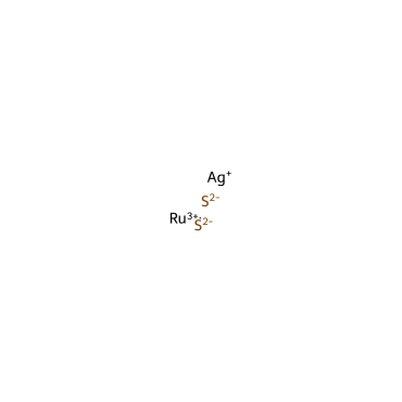 [Ag+].[Ru+3].[S-2].[S-2]